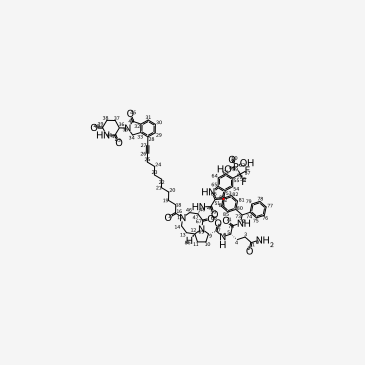 NC(=O)CC[C@H](NC(=O)[C@@H]1CC[C@@H]2CCN(C(=O)CCCCCCCCC#Cc3cccc4c3CN(C3CCC(=O)NC3=O)C4=O)C[C@H](NC(=O)c3cc4cc(C(F)(F)P(=O)(O)O)ccc4[nH]3)C(=O)N21)C(=O)NC(c1ccccc1)c1ccccc1